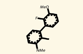 CNc1cccc(-c2cccc(OC)c2F)c1C